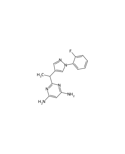 CC(c1cnn(-c2ccccc2F)c1)c1nc(N)cc(N)n1